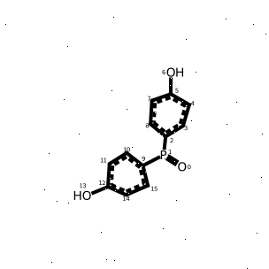 O=[P](c1ccc(O)cc1)c1ccc(O)cc1